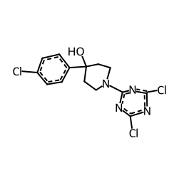 OC1(c2ccc(Cl)cc2)CCN(c2nc(Cl)nc(Cl)n2)CC1